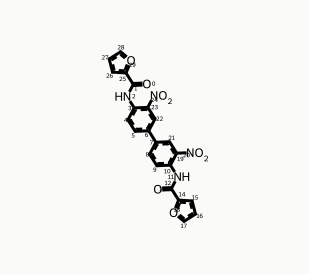 O=C(Nc1ccc(-c2ccc(NC(=O)c3ccco3)c([N+](=O)[O-])c2)cc1[N+](=O)[O-])c1ccco1